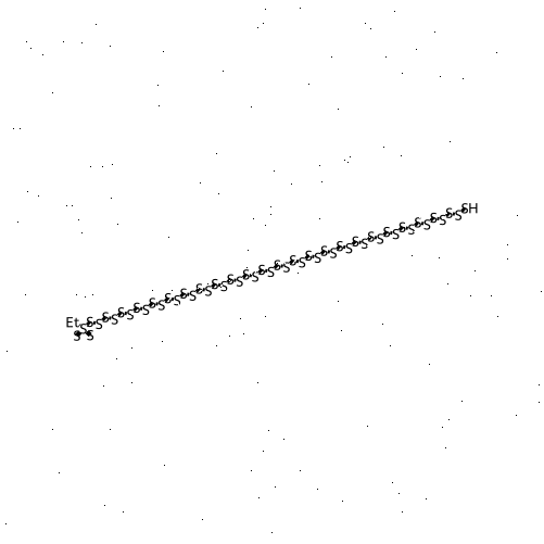 CCS(=S)(=S)SSSSSSSSSSSSSSSSSSSSSSSSSSSSSSSSSSSSSSSSSSSSSSSSS